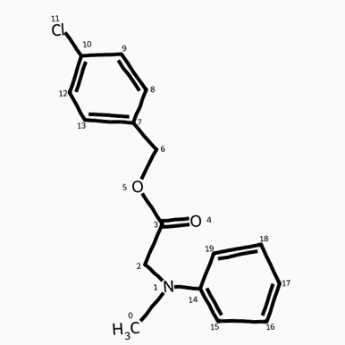 CN(CC(=O)OCc1ccc(Cl)cc1)c1ccccc1